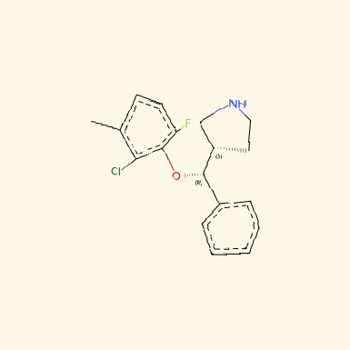 Cc1ccc(F)c(O[C@@H](c2ccccc2)[C@H]2CCNC2)c1Cl